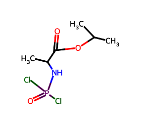 CC(C)OC(=O)C(C)NP(=O)(Cl)Cl